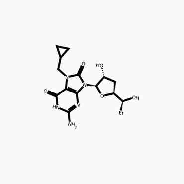 CC[C@H](O)[C@@H]1C[C@@H](O)[C@H](n2c(=O)n(CC3CC3)c3c(=O)[nH]c(N)nc32)O1